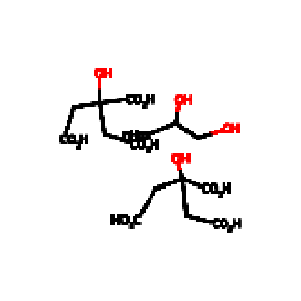 CCCCCCC(O)CO.O=C(O)CC(O)(CC(=O)O)C(=O)O.O=C(O)CC(O)(CC(=O)O)C(=O)O